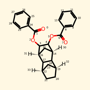 O=C(OC1C(OC(=O)c2ccccc2)[C@@H]2C[C@H]1C1C2[C@H]2CC[C@@H]1C2)c1ccccc1